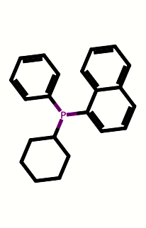 c1ccc(P(c2cccc3ccccc23)C2CCCCC2)cc1